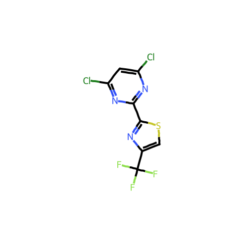 FC(F)(F)c1csc(-c2nc(Cl)cc(Cl)n2)n1